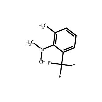 Cc1cccc(C(F)(F)F)c1N(C)C